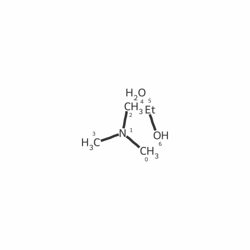 CN(C)C.O.[CH2]CO